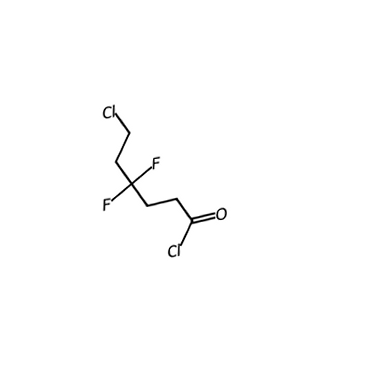 O=C(Cl)CCC(F)(F)CCCl